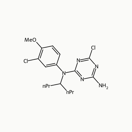 CCCC(CCC)N(c1ccc(OC)c(Cl)c1)c1nc(N)nc(Cl)n1